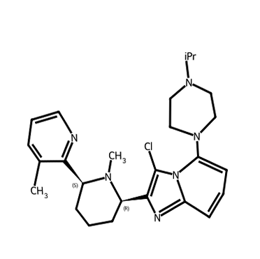 Cc1cccnc1[C@@H]1CCC[C@H](c2nc3cccc(N4CCN(C(C)C)CC4)n3c2Cl)N1C